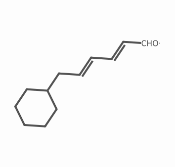 O=[C]C=CC=CCC1CCCCC1